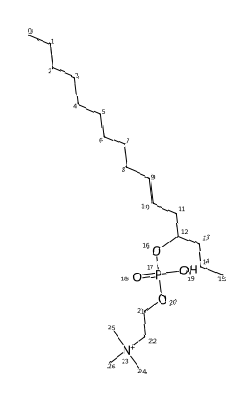 CCCCCCCCCCCCC(CCC)OP(=O)(O)OCC[N+](C)(C)C